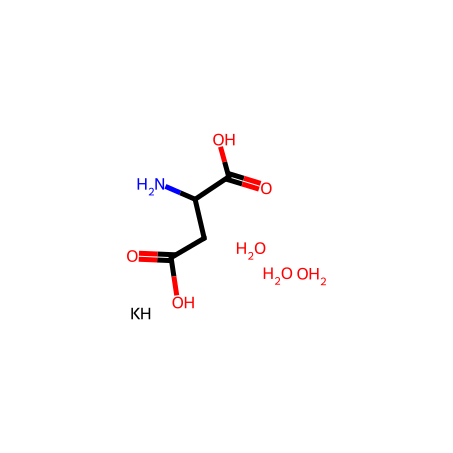 NC(CC(=O)O)C(=O)O.O.O.O.[KH]